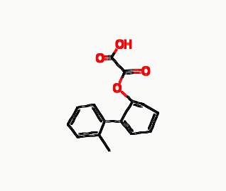 Cc1ccccc1-c1ccccc1OC(=O)C(=O)O